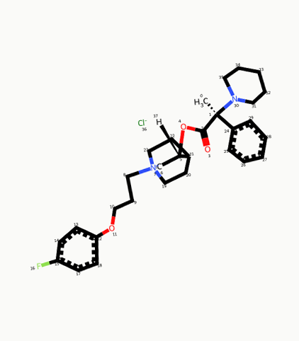 C[C@@](C(=O)O[C@H]1C[N+]2(CCCOc3ccc(F)cc3)CCC1CC2)(c1ccccc1)N1CCCCC1.[Cl-]